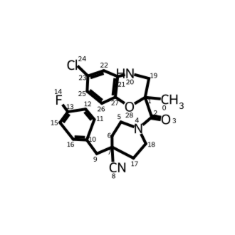 CC1(C(=O)N2CCC(C#N)(Cc3ccc(F)cc3)CC2)CNc2cc(Cl)ccc2O1